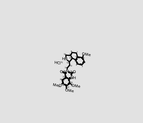 COc1cccc2c1CCC1CNC(CCn3c(=O)[nH]c4c(OC)c(OC)c(OC)cc4c3=O)C21.Cl